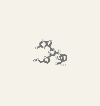 O=NCc1ccc(-c2cc(N[C@H]3C4CCC(CC4)[C@@H]3C(=O)O)nc(-c3c[nH]c4ncc(Cl)nc34)n2)o1